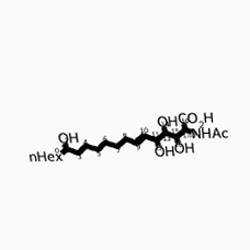 CCCCCCC(O)CCCCCCC=CC(O)C(O)C(O)C(NC(C)=O)C(=O)O